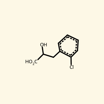 O=C(O)C(O)Cc1ccccc1Cl